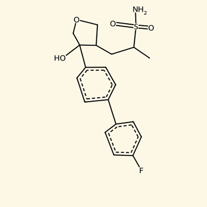 CC(CC1COCC1(O)c1ccc(-c2ccc(F)cc2)cc1)S(N)(=O)=O